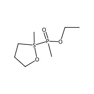 CCOP(C)(=O)S1(C)CCCO1